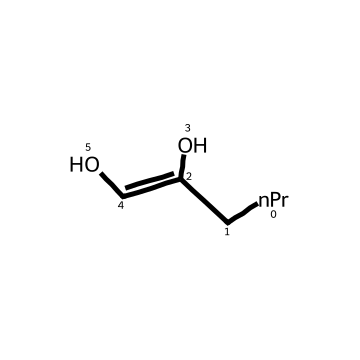 CCCCC(O)=CO